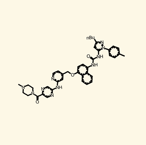 CCCCc1cc(NC(=O)Nc2ccc(OCc3ccnc(Nc4cnc(C(=O)N5CCN(C)CC5)cn4)c3)c3ccccc23)n(-c2ccc(C)cc2)n1